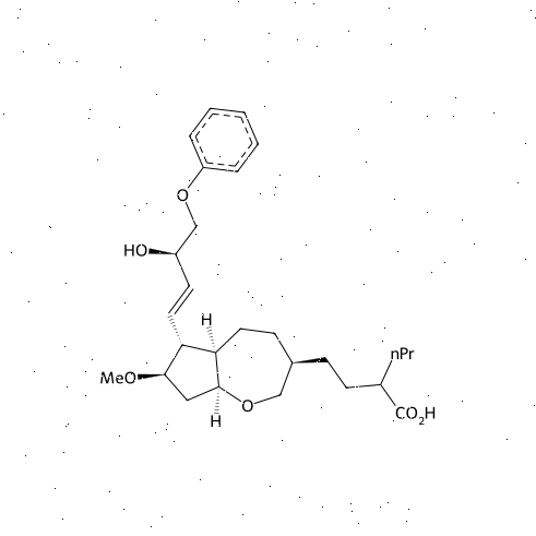 CCCC(CC[C@@H]1CC[C@@H]2[C@@H](C=C[C@@H](O)COc3ccccc3)[C@H](OC)C[C@@H]2OC1)C(=O)O